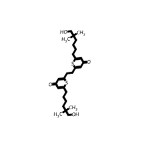 CC(C)(CO)CCCCc1cc(=O)cc(CCc2cc(=O)cc(CCCCC(C)(C)CO)s2)s1